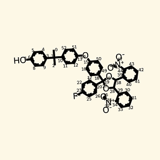 CC(C)(c1ccc(O)cc1)c1ccc(Oc2ccc(C3(c4ccc(F)cc4)OC(c4ccccc4[N+](=O)[O-])C(c4ccccc4[N+](=O)[O-])O3)cc2)cc1